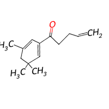 C=CCCC(=O)C1=CC(C)(C)CC(C)=C1